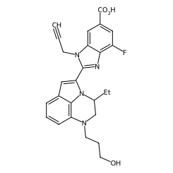 C#CCn1c(-c2cc3cccc4c3n2C(CC)CN4CCCO)nc2c(F)cc(C(=O)O)cc21